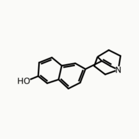 Oc1ccc2cc(C3=CN4CCC3CC4)ccc2c1